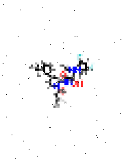 CC(=O)N[C@@H](Cc1cc(F)cc(F)c1)[C@H](O)CNC1CC(c2cccc(C(C)(C)C)c2)CCN1C(=O)CC(C)C